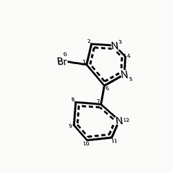 Brc1cn[c]nc1-c1ccccn1